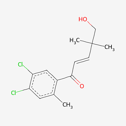 Cc1cc(Cl)c(Cl)cc1C(=O)C=CC(C)(C)CO